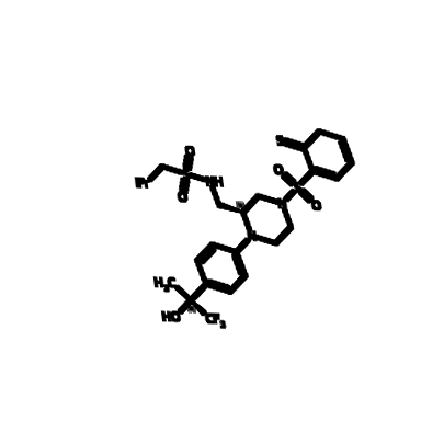 CC(C)CS(=O)(=O)NC[C@H]1CN(S(=O)(=O)C2=CC=CCC2=S)CCN1c1ccc([C@@](C)(O)C(F)(F)F)cc1